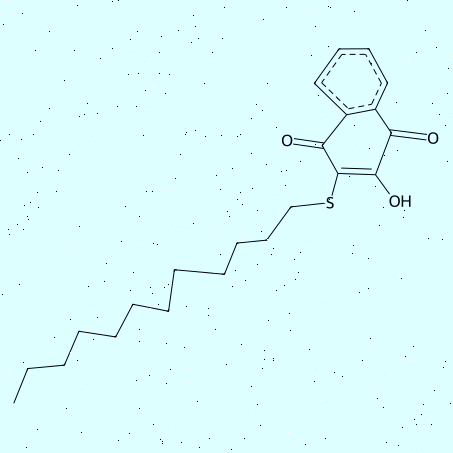 CCCCCCCCCCCCSC1=C(O)C(=O)c2ccccc2C1=O